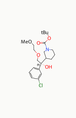 COCCOC[C@](O)(c1cccc(Cl)c1)C1CCCN(C(=O)OC(C)(C)C)C1